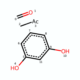 C=O.CC(C)=O.Oc1cccc(O)c1